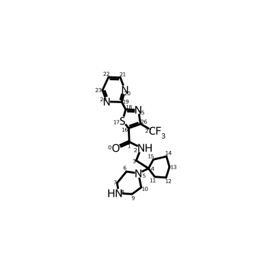 O=C(NCC1(N2CCNCC2)CCCCC1)c1sc(-c2ncccn2)nc1C(F)(F)F